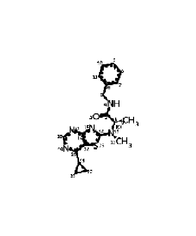 C[C@H](C(=O)NCc1ccccc1)N(C)c1nc2ncnc(C3CC3)c2s1